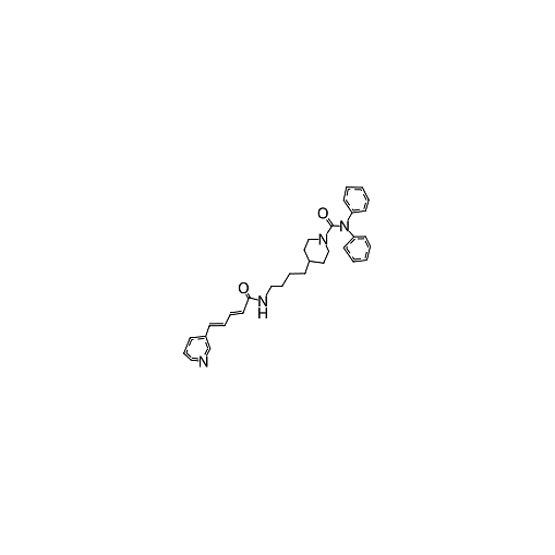 O=C(/C=C/C=C/c1cccnc1)NCCCCC1CCN(C(=O)N(c2ccccc2)c2ccccc2)CC1